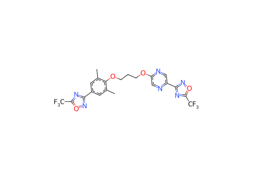 Cc1cc(-c2noc(C(F)(F)F)n2)cc(C)c1OCCCOc1cnc(-c2noc(C(F)(F)F)n2)cn1